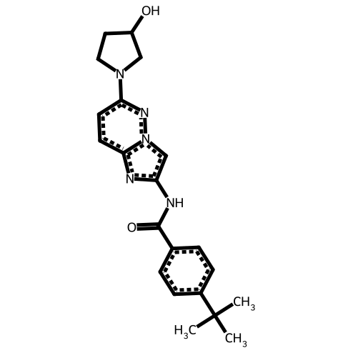 CC(C)(C)c1ccc(C(=O)Nc2cn3nc(N4CCC(O)C4)ccc3n2)cc1